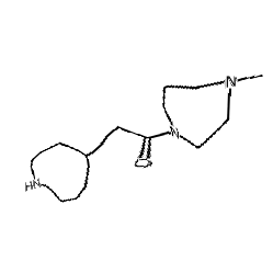 CN1CCN(C(=O)CC2CCNCC2)CC1